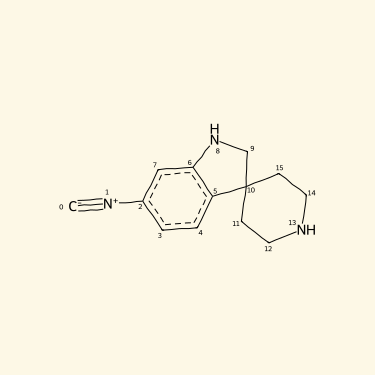 [C-]#[N+]c1ccc2c(c1)NCC21CCNCC1